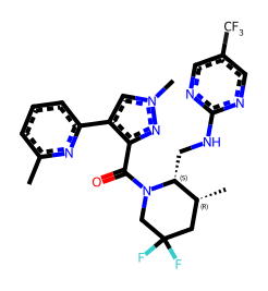 Cc1cccc(-c2cn(C)nc2C(=O)N2CC(F)(F)C[C@@H](C)[C@H]2CNc2ncc(C(F)(F)F)cn2)n1